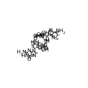 Nc1nc2c(ncn2[C@@H]2S[C@@H]3COP(=O)(O)O[C@@H]4C(O)[C@H](n5cnc6c(N)ccnc65)O[C@@H]4COP(=O)(O)OC2[C@H]3O)c(=O)[nH]1